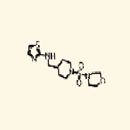 O=S(=O)(N1CCOCC1)N1CCC(CNc2nccs2)CC1